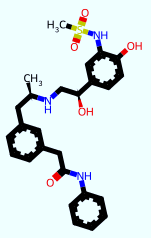 C[C@H](Cc1cccc(CC(=O)Nc2ccccc2)c1)NC[C@H](O)c1ccc(O)c(NS(C)(=O)=O)c1